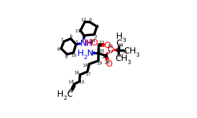 C1CCC(NC2CCCCC2)CC1.C=CCCCCCC(N)(C(=O)O)C(=O)OC(C)(C)C